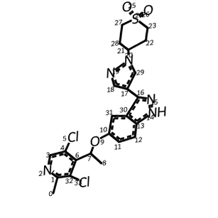 Cc1ncc(Cl)c(C(C)Oc2ccc3[nH]nc(-c4cnn(C5CCS(=O)(=O)CC5)c4)c3c2)c1Cl